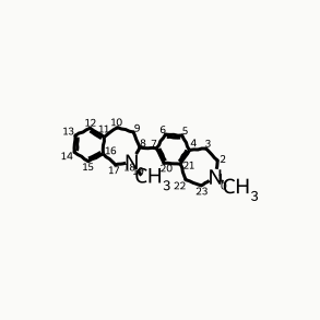 CN1CCc2ccc(C3CCc4ccccc4CN3C)cc2CC1